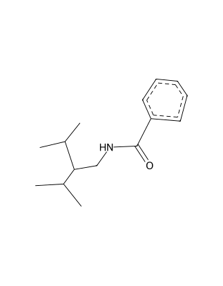 CC(C)C(CNC(=O)c1ccccc1)C(C)C